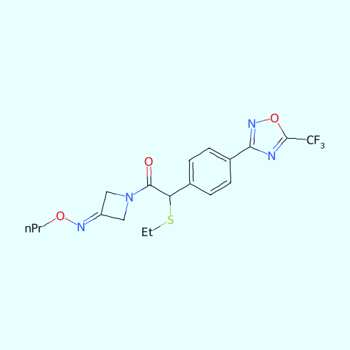 CCCON=C1CN(C(=O)C(SCC)c2ccc(-c3noc(C(F)(F)F)n3)cc2)C1